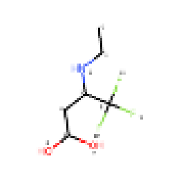 CCNC(CC(O)O)C(F)(F)F